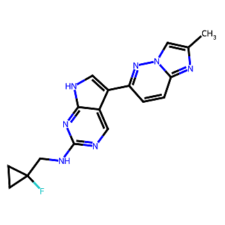 Cc1cn2nc(-c3c[nH]c4nc(NCC5(F)CC5)ncc34)ccc2n1